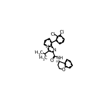 CC(C)c1c(C(=O)N[C@H]2CCOc3ccccc32)nc2c(-c3cccc(Cl)c3Cl)cccn12